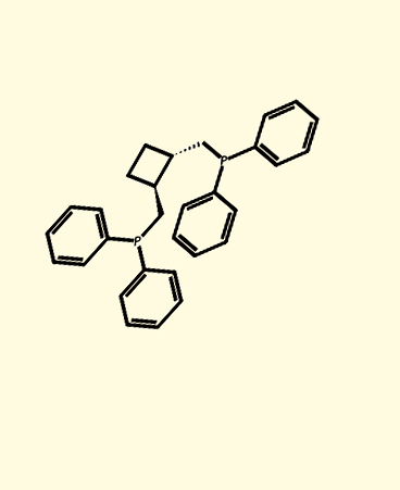 c1ccc(P(C[C@H]2CC[C@@H]2CP(c2ccccc2)c2ccccc2)c2ccccc2)cc1